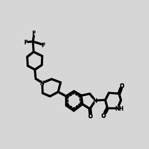 O=C1CNC(=O)C(N2Cc3cc(C4CCN(CC5CCC(C(F)(F)F)CC5)CC4)ccc3C2=O)C1